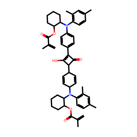 C=C(C)C(=O)OC1CCCCC1N(c1ccc(C2=C(O)C(C3C=CC(N(c4ccc(C)cc4C)C4CCCCC4OC(=O)C(=C)C)C=C3)C2=O)cc1)c1ccc(C)cc1C